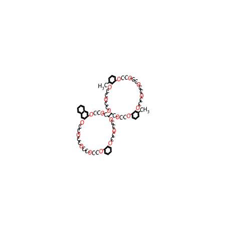 Cc1cccc2c1OCCOCCOCCOCCOc1cccc(C)c1OCCOCCOC(C1COCCOc3cc4ccccc4cc3OCCOCCOCCOCCOc3ccccc3OCCOCCO1)COCCO2